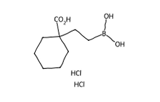 Cl.Cl.O=C(O)C1(CCB(O)O)CCCCC1